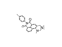 Cc1ccc(N2C(=O)c3cccc4c5c(cc(c34)C2=O)C[N+](C)(C)CN5C)cc1